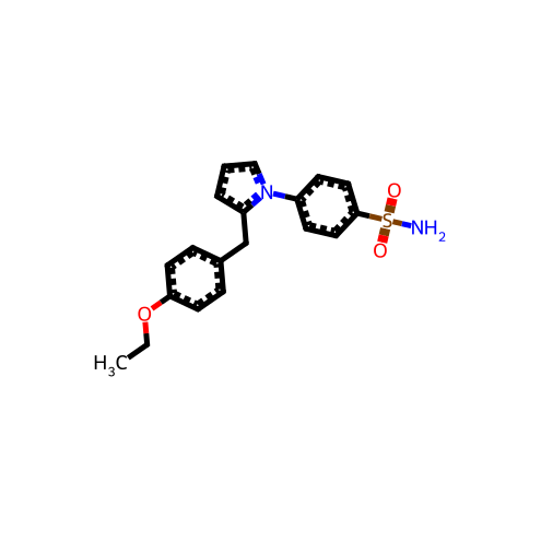 CCOc1ccc(Cc2cccn2-c2ccc(S(N)(=O)=O)cc2)cc1